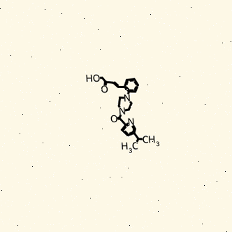 CC(C)c1ccc(C(=O)N2CCN(c3ccccc3/C=C/C(=O)CO)CC2)nc1